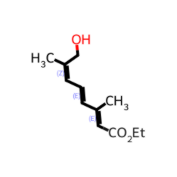 CCOC(=O)/C=C(C)/C=C/C=C(/C)CO